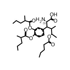 CCCCC(=O)OC(C)C(C)C(c1ccc(OC(=O)C(C)CCC)c(OC(=O)C(C)CCC)c1)[C@H](N)C(=O)O